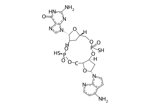 Nc1nc2c(ncn2[C@@H]2O[C@@H]3COP(=O)(S)O[C@H]4C[C@H](n5ccc6c(N)ccnc65)OC4CO[P@@](=O)(S)O[C@@H]2C3)c(=O)[nH]1